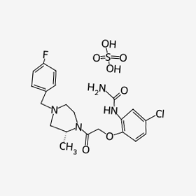 C[C@@H]1CN(Cc2ccc(F)cc2)CCN1C(=O)COc1ccc(Cl)cc1NC(N)=O.O=S(=O)(O)O